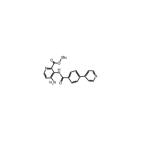 CC(C)(C)OC(=O)c1nccc(N)c1NC(=O)c1ccc(-c2ccncc2)cc1